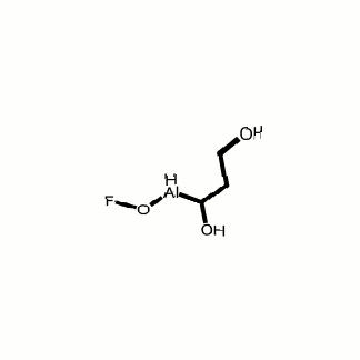 OCC[CH](O)[AlH][O]F